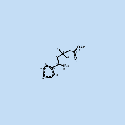 CC(=O)OC(=O)CC(C)(C)CC(c1ccccc1)C(C)(C)C